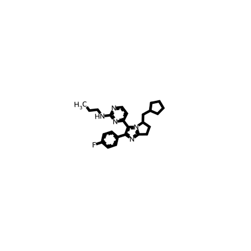 CCCNc1nccc(-c2c(-c3ccc(F)cc3)nc3n2C(CC2CCCC2)CC3)n1